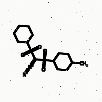 CC1CCC(S(=O)(=O)C(=[N+]=[N-])S(=O)(=O)C2CCCCC2)CC1